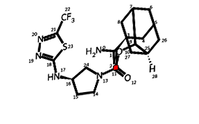 NC(=O)[C@]12CC3CC(C1)C(OC(=O)N1CC[C@@H](Nc4nnc(C(F)(F)F)s4)C1)[C@@H](C3)C2